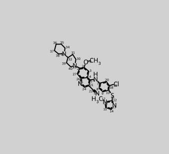 COc1cc2c(Nc3ccc(Sc4nccn4C)c(Cl)c3)c(C#N)cnc2cc1N1CCC(N2CCCCC2)CC1